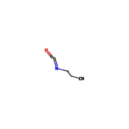 N#CC[CH]N=C=O